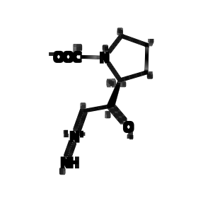 N=[N+]=CC(=O)[C@@H]1CCCN1C(=O)[O-]